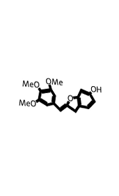 COc1cc(C=C2Cc3ccc(O)cc3O2)cc(OC)c1OC